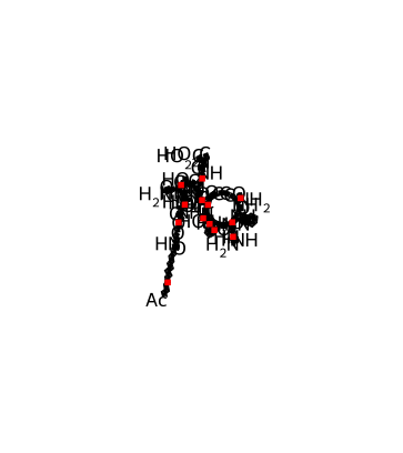 CCCC[C@H](NC(=O)[C@H](CCCCNC(=O)CN(CC(=O)O)CC(=O)O)NC(=O)[C@H](CO)NC(=O)[C@H](CCC(N)=O)NC(=O)[C@H](CO)NC(=O)CNC(=O)COCCOCCNC(=O)CCCCCCCCCCCCCCC(C)=O)C(=O)N[C@H]1CCC(=O)CCCCC[C@@H](C(N)=O)NC(=O)[C@H](Cc2c[nH]c3ccccc23)NC(=O)[C@H](CCCNC(=N)N)NC(=O)[C@@H](Cc2ccccc2)NC(=O)[C@@H]2C[C@@H](O)CN2C1=O